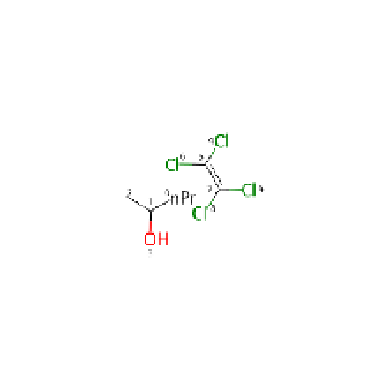 CCCC(C)O.ClC(Cl)=C(Cl)Cl